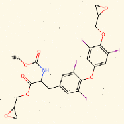 CC(C)(C)OC(=O)NC(Cc1cc(I)c(Oc2cc(I)c(OCC3CO3)c(I)c2)c(I)c1)C(=O)OCC1CO1